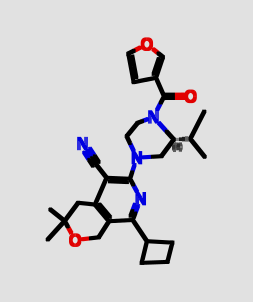 CC(C)[C@@H]1CN(c2nc(C3CCC3)c3c(c2C#N)CC(C)(C)OC3)CCN1C(=O)c1ccoc1